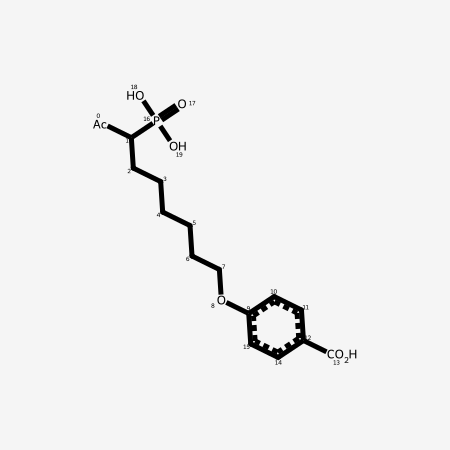 CC(=O)C(CCCCCCOc1ccc(C(=O)O)cc1)P(=O)(O)O